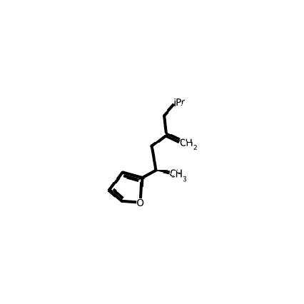 C=C(CC(C)C)C[C@@H](C)c1ccco1